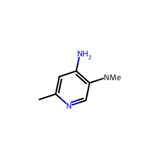 CNc1cnc(C)cc1N